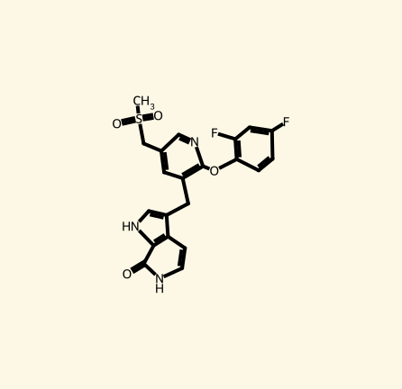 CS(=O)(=O)Cc1cnc(Oc2ccc(F)cc2F)c(Cc2c[nH]c3c(=O)[nH]ccc23)c1